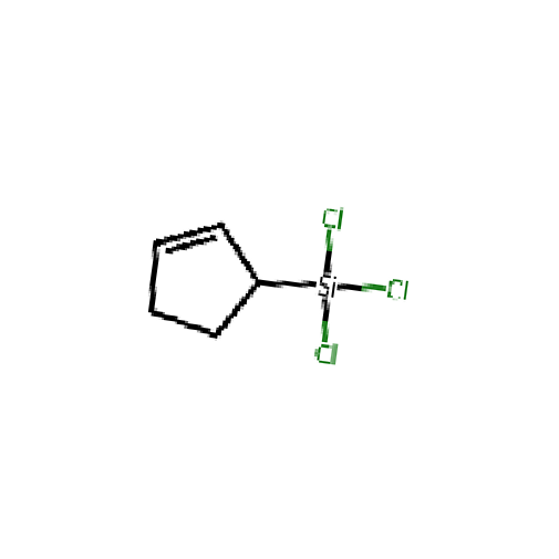 Cl[Si](Cl)(Cl)C1C=CCC1